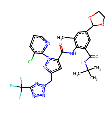 Cc1cc(C2OCCO2)cc(C(=O)NC(C)(C)C)c1NC(=O)c1cc(Cn2nnc(C(F)(F)F)n2)nn1-c1ncccc1Cl